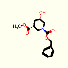 COC(=O)[C@@H]1C[C@H](O)CN(C(=O)OCc2ccccc2)C1